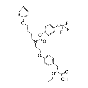 CCOC(Cc1ccc(OCCN(CCCCOc2ccccc2)C(=O)Oc2ccc(OC(F)(F)F)cc2)cc1)C(=O)O